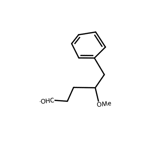 COC(CC[C]=O)Cc1ccccc1